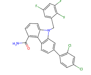 NC(=O)c1cccc2c1c1[c]cc(-c3ccc(Cl)cc3Cl)cc1n2Cc1cc(F)cc(F)c1F